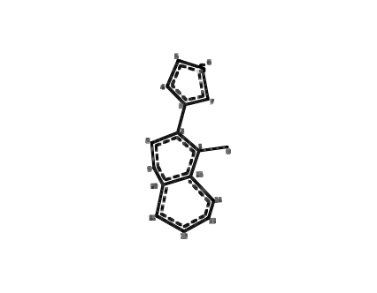 Cc1c(-c2ccsc2)ccc2ccccc12